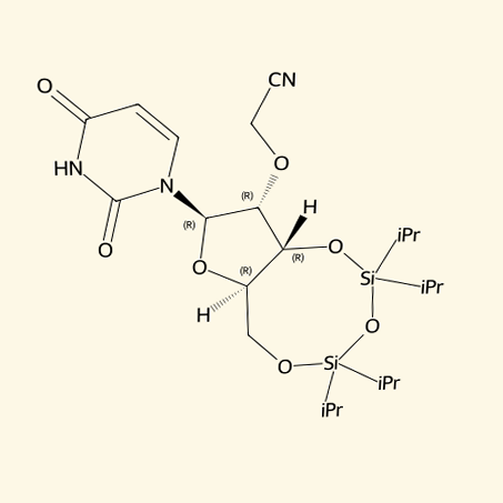 CC(C)[Si]1(C(C)C)OC[C@H]2O[C@@H](n3ccc(=O)[nH]c3=O)[C@H](OCC#N)[C@@H]2O[Si](C(C)C)(C(C)C)O1